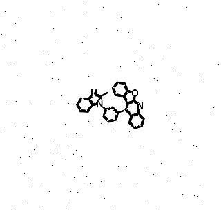 Cc1nc2ccccc2n1-c1cccc(-c2c3ccccc3nc3oc4ccccc4c23)c1